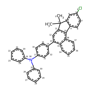 CC1(C)c2cc(Cl)ccc2-c2c1cc(-c1ccc(N(c3ccccc3)c3ccccc3)cc1)c1ccccc21